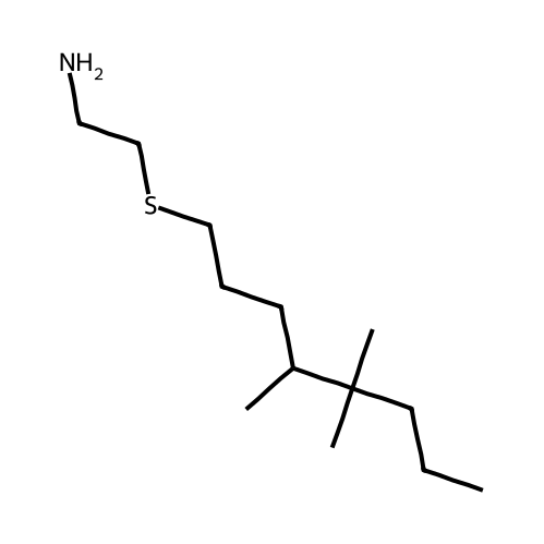 CCCC(C)(C)C(C)CCCSCCN